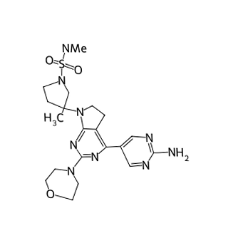 CNS(=O)(=O)N1CCC(C)(N2CCc3c(-c4cnc(N)nc4)nc(N4CCOCC4)nc32)C1